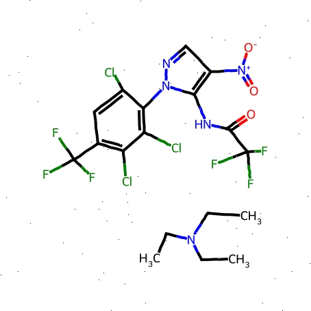 CCN(CC)CC.O=C(Nc1c([N+](=O)[O-])cnn1-c1c(Cl)cc(C(F)(F)F)c(Cl)c1Cl)C(F)(F)F